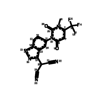 Cn1c(C(F)(F)F)cc(=O)n(-c2ccc3snc(C(C#N)C#N)c3c2)c1=O